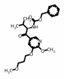 COCCCOc1cc(C(=O)[C@H](NC(=O)OCc2ccccc2)C(C)C)cnc1OC